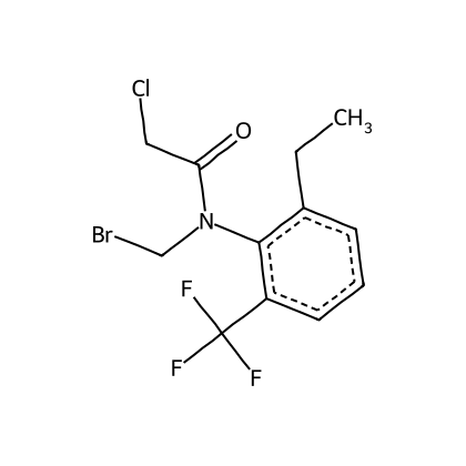 CCc1cccc(C(F)(F)F)c1N(CBr)C(=O)CCl